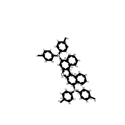 Cc1ccc(N(c2ccc(C)cc2)c2cc3oc4cc(N(c5ccc(C)cc5)c5ccc(C)cc5)c5ccccc5c4c3c3ccccc23)cc1